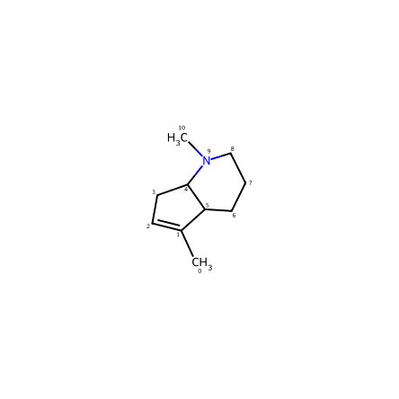 CC1=CCC2C1CCCN2C